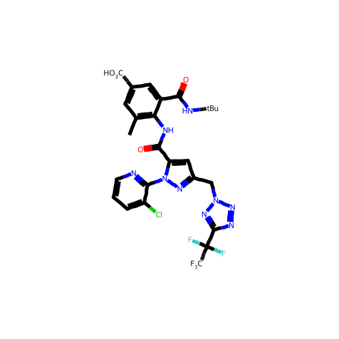 Cc1cc(C(=O)O)cc(C(=O)NC(C)(C)C)c1NC(=O)c1cc(Cn2nnc(C(F)(F)C(F)(F)F)n2)nn1-c1ncccc1Cl